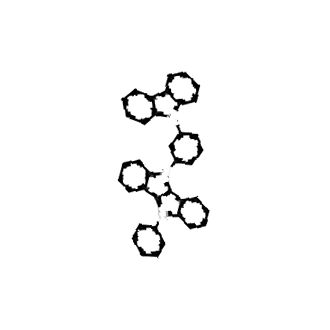 c1ccc(-n2c3ccccc3c3c2c2ccccc2n3-c2cccc(-n3c4ccccc4c4ccccc43)c2)cc1